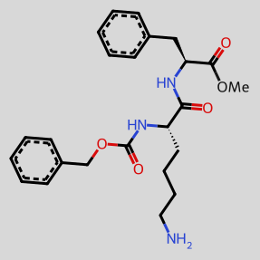 COC(=O)[C@H](Cc1ccccc1)NC(=O)[C@H](CCCCN)NC(=O)OCc1ccccc1